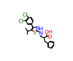 CC(C)c1sc(NCC(Cc2ccccc2)C(=O)O)nc1-c1ccc(Cl)c(Cl)c1